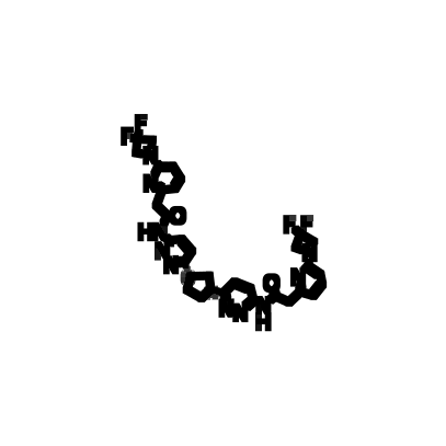 O=C(Cc1cccc(N2CC(F)(F)C2)n1)Nc1ccc([C@H]2CC[C@H](c3ccc(NC(=O)Cc4cccc(N5CC(F)(F)C5)n4)nn3)C2)nn1